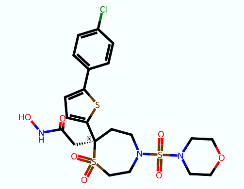 O=C(C[C@]1(c2ccc(-c3ccc(Cl)cc3)s2)CCN(S(=O)(=O)N2CCOCC2)CCS1(=O)=O)NO